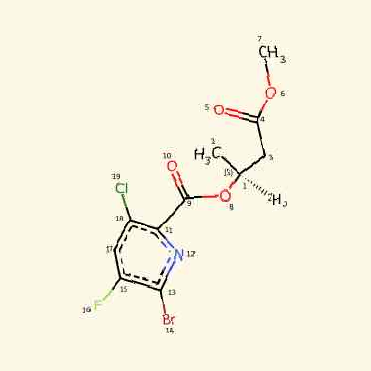 [2H][C@](C)(CC(=O)OC)OC(=O)c1nc(Br)c(F)cc1Cl